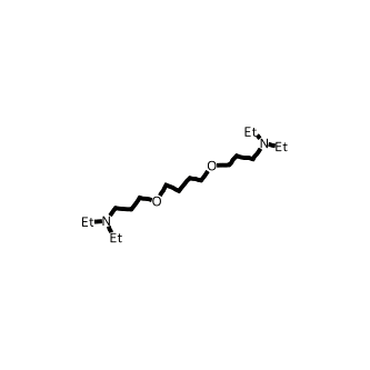 CCN(CC)CCCOCCCCOCCCN(CC)CC